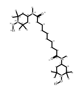 CCON1C(C)(C)CC(N(C)C(=O)CCCCCCCCC(=O)N(C)C2CC(C)(C)N(OCC)C(C)(C)C2)CC1(C)C